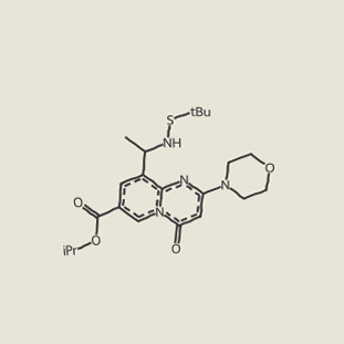 CC(C)OC(=O)c1cc(C(C)NSC(C)(C)C)c2nc(N3CCOCC3)cc(=O)n2c1